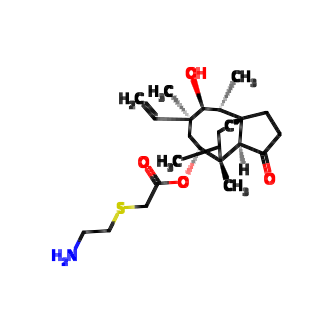 C=C[C@]1(C)C[C@@H](OC(=O)CSCCN)[C@]2(C)C(C)CC[C@]3(CCC(=O)[C@H]32)[C@@H](C)[C@@H]1O